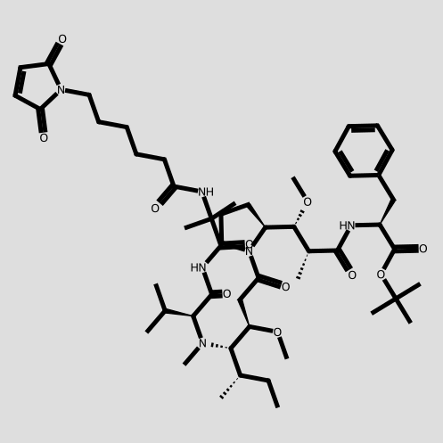 CC[C@H](C)[C@@H]([C@@H](CC(=O)N1CCC[C@H]1[C@H](OC)[C@@H](C)C(=O)N[C@@H](Cc1ccccc1)C(=O)OC(C)(C)C)OC)N(C)[C@H](C(=O)NC(=O)C(C)(C)NC(=O)CCCCCN1C(=O)C=CC1=O)C(C)C